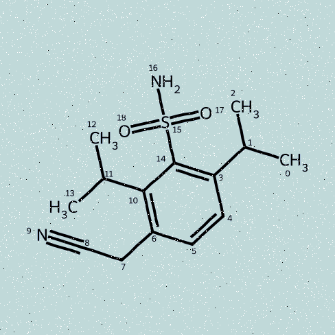 CC(C)c1ccc(CC#N)c(C(C)C)c1S(N)(=O)=O